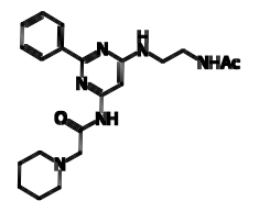 CC(=O)NCCNc1cc(NC(=O)CN2CCCCC2)nc(-c2ccccc2)n1